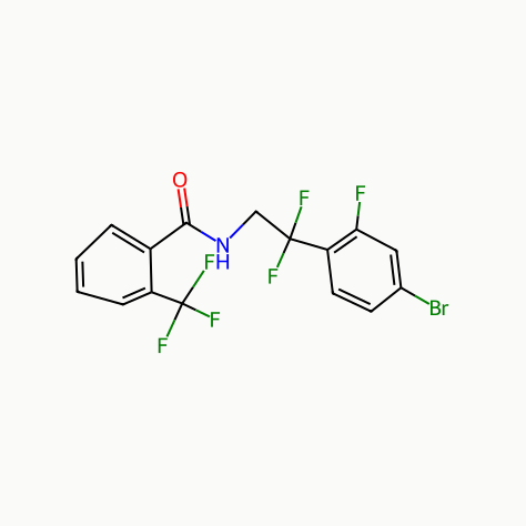 O=C(NCC(F)(F)c1ccc(Br)cc1F)c1ccccc1C(F)(F)F